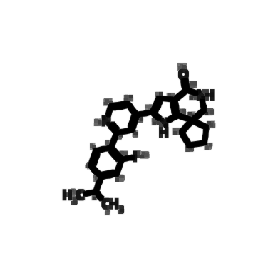 CC(C)c1ccc(-c2cc(-c3cc4c([nH]3)C3(CCCC3)CNC4=O)ccn2)c(F)c1